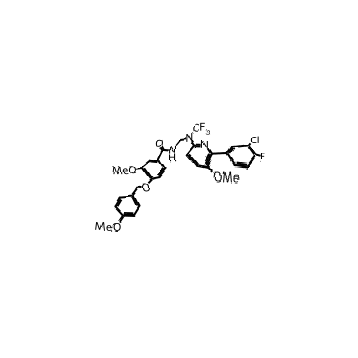 COc1ccc(COc2ccc(C(=O)NCN(c3ccc(OC)c(-c4ccc(F)c(Cl)c4)n3)C(F)(F)F)cc2OC)cc1